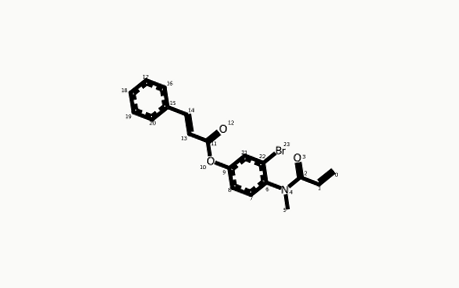 C=CC(=O)N(C)c1ccc(OC(=O)/C=C/c2ccccc2)cc1Br